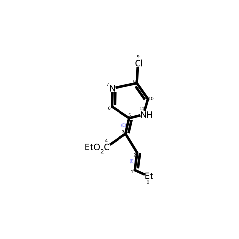 CC/C=C/C(C(=O)OCC)=C1/C=NC(Cl)=CN1